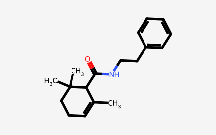 CC1=CCCC(C)(C)C1C(=O)NCCc1ccccc1